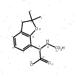 CC1(C)Cc2cccc(N(NC(=O)O)C(=O)Cl)c2O1